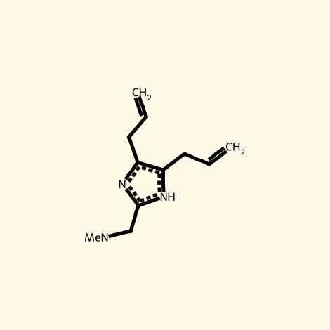 C=CCc1nc(CNC)[nH]c1CC=C